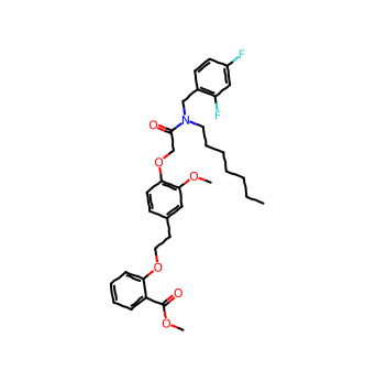 CCCCCCCN(Cc1ccc(F)cc1F)C(=O)COc1ccc(CCOc2ccccc2C(=O)OC)cc1OC